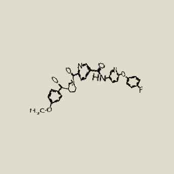 COc1ccc(C(=O)C2CCCN(C(=O)c3ccc(C(=O)Nc4ccc(Oc5ccc(F)cc5)nc4)cn3)C2)cc1